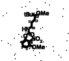 COc1cccc(OC(=O)NCCCC(OC)C(C)(C)C)c1[N+](=O)[O-]